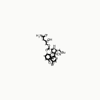 CC(C)(C)C[C@@H]1N[C@@H](C(=O)OC[C@@H](O)CC(N)=O)[C@H](c2cccc(Cl)c2F)[C@]1(C#N)c1ncc(Br)cn1